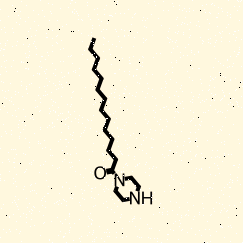 CCCCCCCCCCCCCC(=O)N1CCNCC1